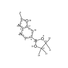 Cc1nc2ncc(B3OC(C)(C)C(C)(C)O3)cc2o1